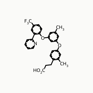 Cc1cc(Oc2ccc(CCC(=O)O)c(C)c2)cc(Oc2ccc(C(F)(F)F)cc2-c2ccccn2)c1